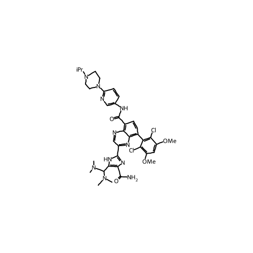 COc1cc(OC)c(Cl)c(-c2ccc(C(=O)Nc3ccc(N4CCN(C(C)C)CC4)nc3)c3ncc(-c4nc(C(N)=O)c(C(N(C)C)N(C)C)[nH]4)nc23)c1Cl